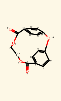 O=C1OCCOC(=O)c2ccc(cc2)Oc2ccc1cc2